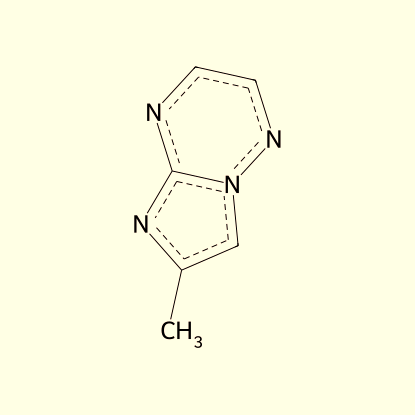 Cc1cn2nccnc2n1